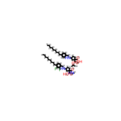 CCCCCCCCCc1ccc(CNC2CCC(C(=O)O)(C(=O)NC)C2)c(F)c1F.CCCCCCCCCc1ccc(CNC2CCC(C(=O)O)(C(=O)OC(C)C)C2)cc1